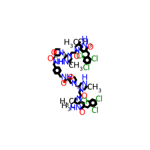 C[C@@H]1CN(CC(=O)N2CC(C)(C)c3[nH]c(=O)c(Cc4c(Cl)cc(Cl)cc4Cl)cc32)[C@@H](CN2CCO[C@H](C(=O)NCc3ccc(CNC(=O)[C@@H]4CN(C[C@H]5CN[C@H](C)CN5CC(=O)N5CC(C)(C)c6[nH]c(=O)c(Cc7c(Cl)cc(Cl)cc7Cl)cc65)CCO4)cc3)C2)CN1